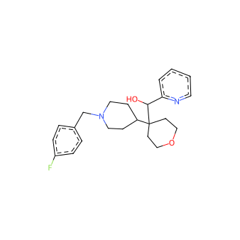 OC(c1ccccn1)C1(C2CCN(Cc3ccc(F)cc3)CC2)CCOCC1